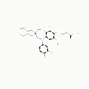 CCCCC1(CCCC)CN(c2ccc(F)c(F)c2)c2cc(SC)c(OCCC(=O)O)cc2S(O)(O)C1